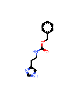 O=C(NCCc1c[nH]cn1)OCc1ccccc1